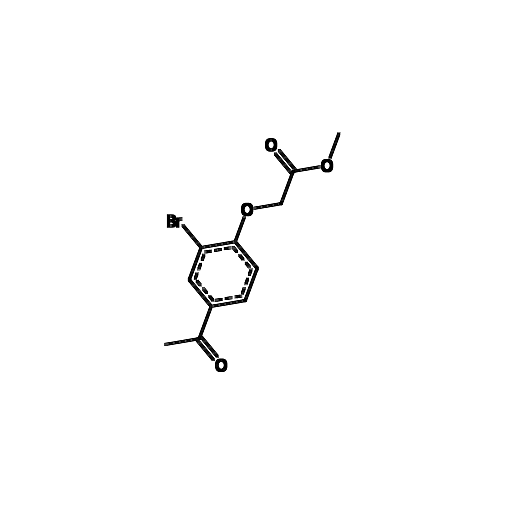 COC(=O)COc1ccc(C(C)=O)cc1Br